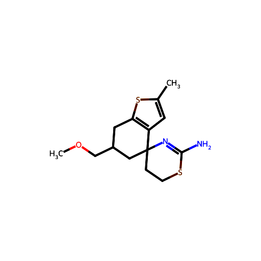 COCC1Cc2sc(C)cc2C2(CCSC(N)=N2)C1